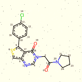 O=C(Cn1cnc2csc(-c3ccc(Cl)cc3)c2c1=O)N1CCCC1